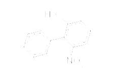 Cc1cccc([N+](=O)[O-])c1-c1c[c]ccc1